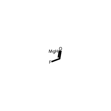 O=CF.[MgH2]